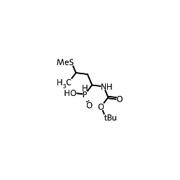 CSC(C)CC(NC(=O)OC(C)(C)C)[PH](=O)O